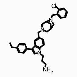 CCc1ccc(-c2cn(CCCN)c3ccc(CN4CC5CC(C4)N(Cc4ccccc4Cl)C5)cc23)cc1